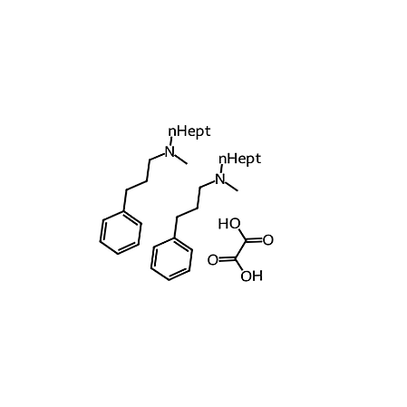 CCCCCCCN(C)CCCc1ccccc1.CCCCCCCN(C)CCCc1ccccc1.O=C(O)C(=O)O